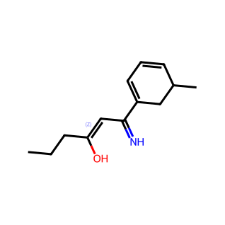 CCC/C(O)=C/C(=N)C1=CC=CC(C)C1